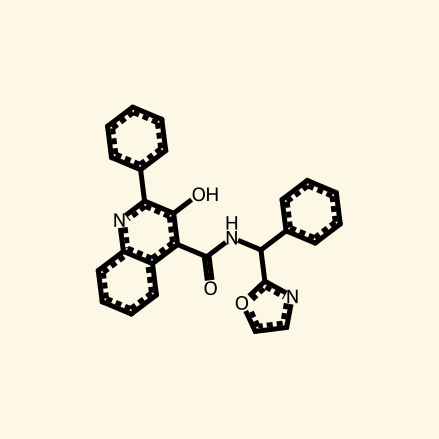 O=C(NC(c1ccccc1)c1ncco1)c1c(O)c(-c2ccccc2)nc2ccccc12